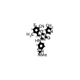 CNc1nc2ccc(Nc3nc(=O)n(-c4cncc(C)c4)c(=O)n3Cc3cc(C#N)c(F)cc3C)cc2s1